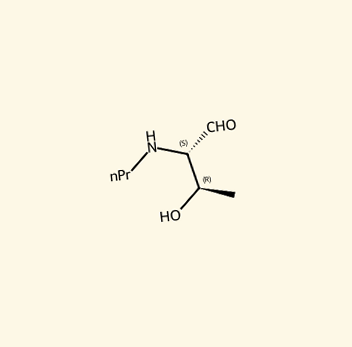 CCCN[C@H](C=O)[C@@H](C)O